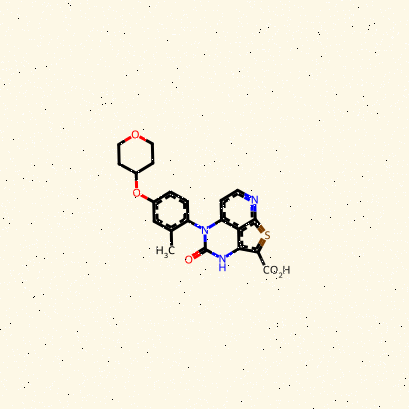 Cc1cc(OC2CCOCC2)ccc1N1C(=O)Nc2c(C(=O)O)sc3nccc1c23